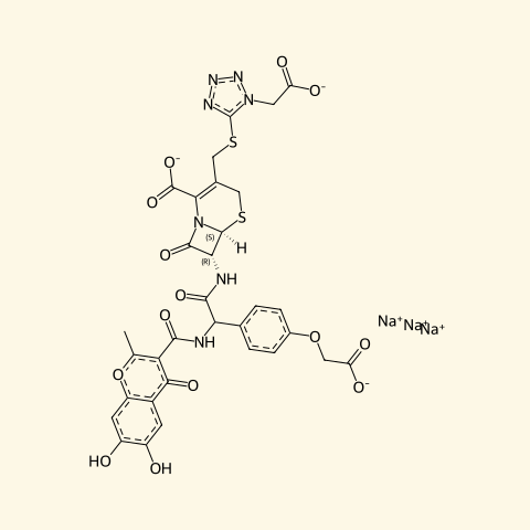 Cc1oc2cc(O)c(O)cc2c(=O)c1C(=O)NC(C(=O)N[C@@H]1C(=O)N2C(C(=O)[O-])=C(CSc3nnnn3CC(=O)[O-])CS[C@@H]12)c1ccc(OCC(=O)[O-])cc1.[Na+].[Na+].[Na+]